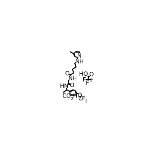 Cc1ccnc(NCCCCC(=O)NCC(=O)NC(CC(=O)O)c2ccc(OC(F)(F)F)cc2)c1.O=C(O)C(F)(F)F